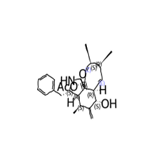 C=C1[C@@H](C)[C@H]2[C@H](Cc3ccccc3)NC(=O)[C@]23[C@H](OC(C)=O)/C=C\[C@@H](C)C[C@@H](C)C/C=C/[C@H]3[C@@H]1O